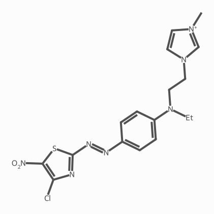 CCN(CCn1cc[n+](C)c1)c1ccc(/N=N/c2nc(Cl)c([N+](=O)[O-])s2)cc1